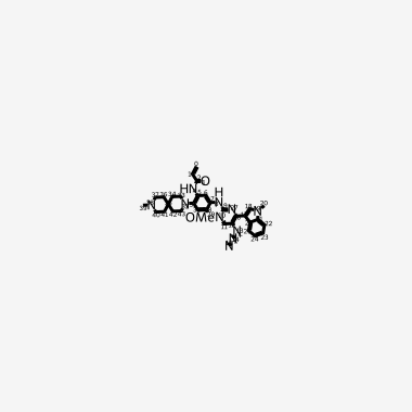 C=CC(=O)Nc1cc(Nc2ncc(N=[N+]=[N-])c(-c3cn(C)c4ccccc34)n2)c(OC)cc1N1CCC2(CCN(C)CC2)CC1